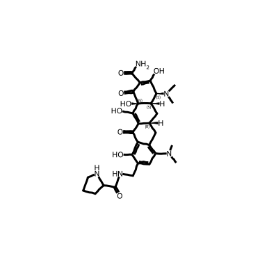 CN(C)c1cc(CNC(=O)C2CCCN2)c(O)c2c1C[C@H]1C[C@H]3[C@H](N(C)C)C(O)=C(C(N)=O)C(=O)[C@@]3(O)C(O)=C1C2=O